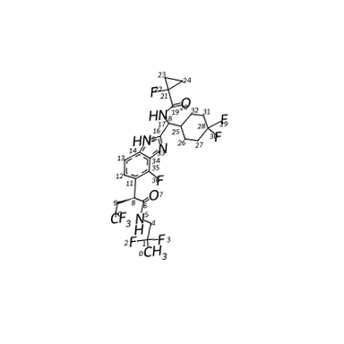 CC(F)(F)CNC(=O)[C@@H](CC(F)(F)F)c1ccc2[nH]c(C(NC(=O)C3(F)CC3)C3CCC(F)(F)CC3)nc2c1F